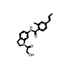 C/C=C/c1ccc(C(=O)Nc2ccc3c(c2)N(C(=O)CO)CC3)c(C)c1